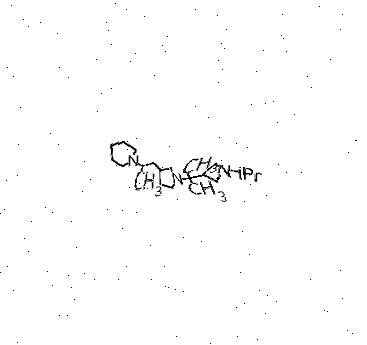 CC(C)N1CC(C(C)(C)N2CCC(CC(C)N3CCCCC3)C2)C1